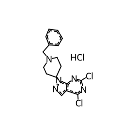 Cl.Clc1nc(Cl)c2cnn(C3CCN(Cc4ccccc4)CC3)c2n1